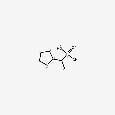 CC(C1CCCN1)P(=O)(O)O